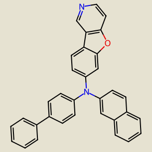 c1ccc(-c2ccc(N(c3ccc4ccccc4c3)c3ccc4c(c3)oc3ccncc34)cc2)cc1